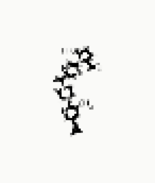 Cc1cc(C2CC2)cnc1N1CCN(C(=O)c2cnc(N3C(C)CCC3C=O)cn2)CC1